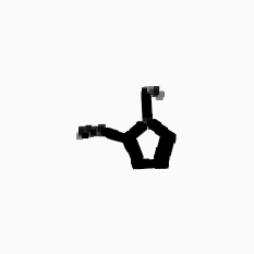 CSc1cccn1C